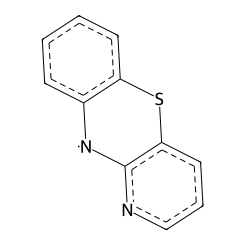 c1ccc2c(c1)[N]c1ncccc1S2